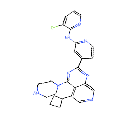 Fc1cccnc1Nc1cc(-c2nc(N3CCNCC3)c3c(C4CCC4)cncc3n2)ccn1